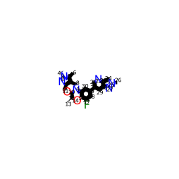 Cc1nn(C)c(C)c1CN1C(=O)[C@@H](C)Oc2c(F)cc(-c3cnc4cn(C)nc4c3)cc21